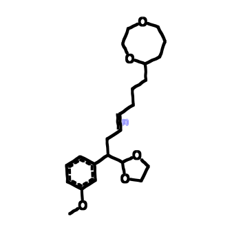 COc1cccc(C(C/C=C/CCCC2CCCOCCO2)C2OCCO2)c1